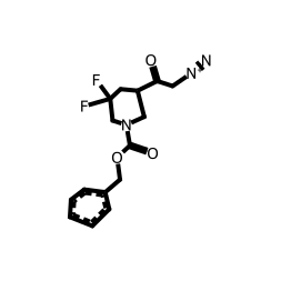 N#[N+]CC(=O)C1CN(C(=O)OCc2ccccc2)CC(F)(F)C1